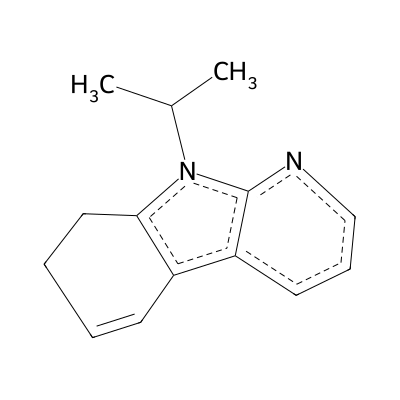 CC(C)n1c2c(c3cccnc31)C=CCC2